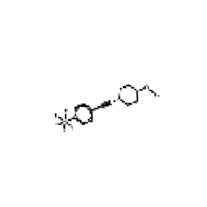 CCO[C@H]1CC[C@H](C#Cc2ccc(S(F)(F)(F)(F)F)cc2)CC1